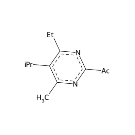 CCc1nc(C(C)=O)nc(C)c1C(C)C